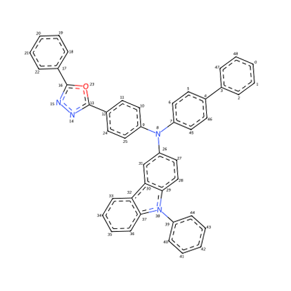 c1ccc(-c2ccc(N(c3ccc(-c4nnc(-c5ccccc5)o4)cc3)c3ccc4c(c3)c3ccccc3n4-c3ccccc3)cc2)cc1